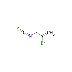 C=C(Br)CN=C=S